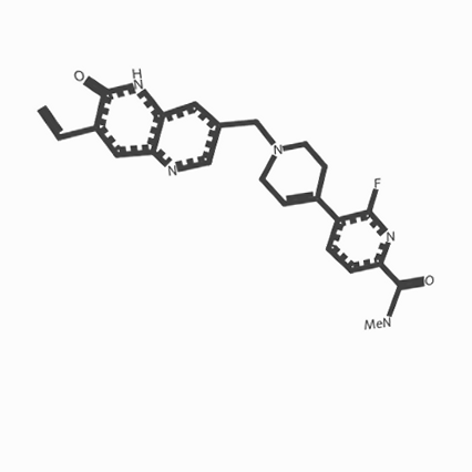 C=Cc1cc2ncc(CN3CC=C(c4ccc(C(=O)NC)nc4F)CC3)cc2[nH]c1=O